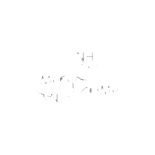 COc1cc(CCN=C=S)c(OC)c2c1CCC(N)C2